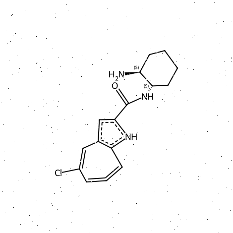 N[C@H]1CCCC[C@@H]1NC(=O)c1cc2c([nH]1)C=C=CC(Cl)=C2